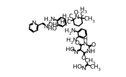 CC(C)=NO.CC1(C)CCCC(C)(C)N1[O].Nc1ccccc1N.Nc1ccccc1O.O=C1NC(=O)C(=NO)C(=O)N1.ON=Cc1ccccn1